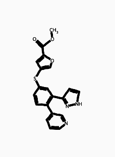 COC(=O)c1cc(Sc2ccc(-c3cccnc3)c(-c3cc[nH]n3)c2)co1